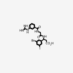 N=C(N)Nc1cccc(C(=O)NCC(=O)NC(CC(=O)O)c2cc(Br)cc(I)c2)c1